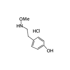 CONCCc1ccc(O)cc1.Cl